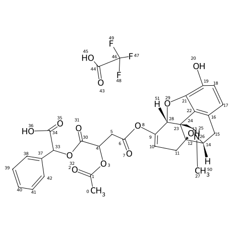 CC(=O)OC(CC(=O)OC1=CC[C@@]2(O)[C@H]3Cc4ccc(O)c5c4[C@@]2(CCN3C)[C@H]1O5)C(=O)OC(C(=O)O)c1ccccc1.O=C(O)C(F)(F)F